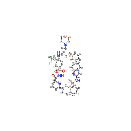 O=C(NS(=O)(=O)c1ccc(N[C@H](CCN2CCOCC2)CSc2ccccc2)c(C(F)(F)F)c1)c1cccc(N2CCc3cccc(C(=O)Nc4cn5ccccc5n4)c3C2)n1